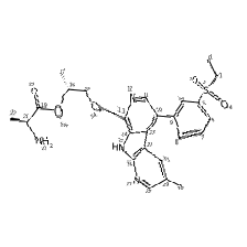 CCS(=O)(=O)c1cccc(-c2cnc(OC[C@@H](C)OC(=O)[C@H](C)N)c3[nH]c4ncc(C)cc4c23)c1